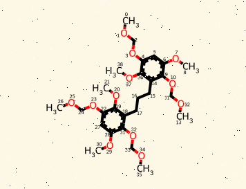 COCOc1cc(OC)c(OCOC)c(CCCc2c(OC)c(OCOC)cc(OC)c2OCOC)c1OC